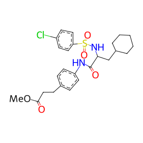 COC(=O)CCc1ccc(NC(=O)C(CC2CCCCC2)NS(=O)(=O)c2ccc(Cl)cc2)cc1